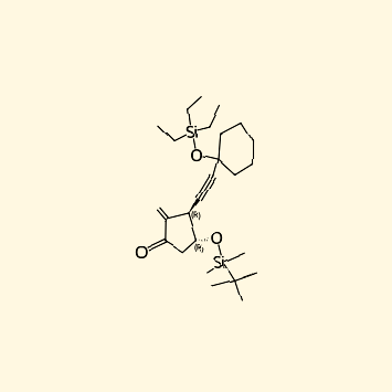 C=C1C(=O)C[C@@H](O[Si](C)(C)C(C)(C)C)[C@@H]1C#CC1(O[Si](CC)(CC)CC)CCCCC1